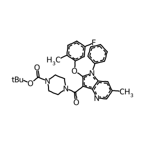 Cc1cnc2c(C(=O)N3CCN(C(=O)OC(C)(C)C)CC3)c(Oc3cc(F)ccc3C)n(-c3ccccc3)c2c1